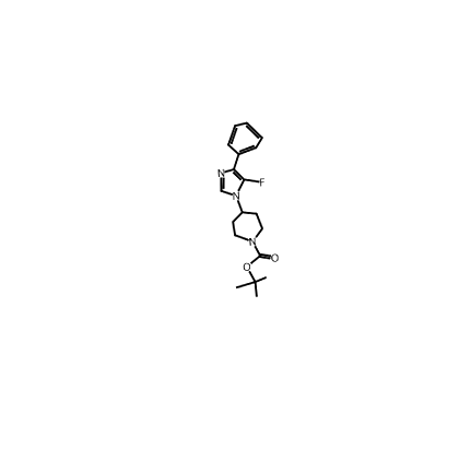 CC(C)(C)OC(=O)N1CCC(n2cnc(-c3ccccc3)c2F)CC1